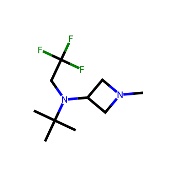 CN1CC(N(CC(F)(F)F)C(C)(C)C)C1